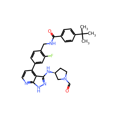 CC(C)(C)c1ccc(C(=O)NCc2ccc(-c3ccnc4[nH]nc(N[C@H]5CCN(C=O)C5)c34)cc2F)cc1